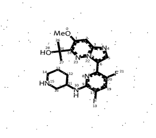 COc1cc2ncc(-c3nc(NC4CCCNC4)c(F)cc3F)n2nc1C(C)(C)O